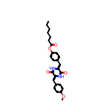 CCCCCCC(=O)Oc1ccc(C=c2[nH]c(=O)c(=Cc3ccc(OC)cc3)[nH]c2=O)cc1